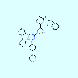 c1ccc(-c2ccc(-c3nc(-c4cccc(-c5cccc6oc7cc8ccccc8cc7c56)c4)nc(-c4ccccc4-c4ccccc4)n3)cc2)cc1